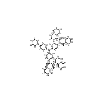 c1ccc(-c2ccc(N(c3ccc(-c4nc5ccccc5nc4-c4cccc5ccccc45)cc3)c3ccc(-c4nc5ccccc5nc4-c4cccc5ccccc45)cc3)cc2)cc1